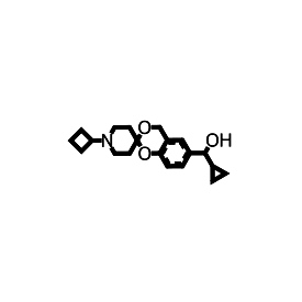 OC(c1ccc2c(c1)COC1(CCN(C3CCC3)CC1)O2)C1CC1